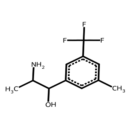 Cc1cc(C(O)C(C)N)cc(C(F)(F)F)c1